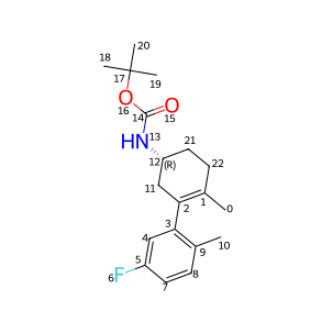 CC1=C(c2cc(F)ccc2C)C[C@H](NC(=O)OC(C)(C)C)CC1